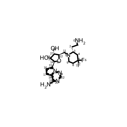 NCC[C@@H]1CC(F)(F)CCN1C[C@H]1O[C@@H](c2ccc3c(N)ncnn23)[C@H](O)[C@@H]1O